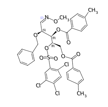 CO/N=C\[C@H](OCc1ccccc1)[C@@H](OC(=O)c1ccc(C)cc1)[C@@H](COC(=O)c1ccc(C)cc1)OS(=O)(=O)c1cc(Cl)c(Cl)cc1Cl